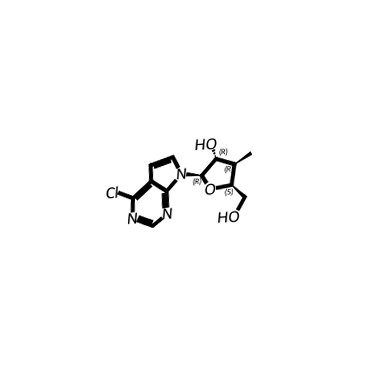 C[C@@H]1[C@@H](O)[C@H](n2ccc3c(Cl)ncnc32)O[C@@H]1CO